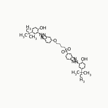 CC(C)(C)c1ccc(O)c(-n2n3c4ccc(OCCCCS(=O)(=O)c5ccc6c(c5)n5n(-c7cc(C(C)(C)C)ccc7O)n65)cc4n23)c1